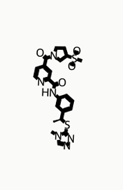 C[C@H](Sc1nncn1C)c1cccc(NC(=O)c2cc(C(=O)N3CCC(S(C)(=O)=O)C3)ccn2)c1